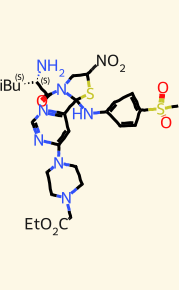 CCOC(=O)CN1CCN(c2cc(C3(Nc4ccc(S(C)(=O)=O)cc4)SC([N+](=O)[O-])CN3C(=O)[C@@H](N)[C@@H](C)CC)ncn2)CC1